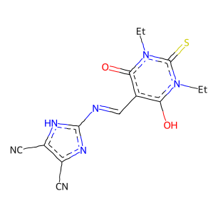 CCn1c(O)c(/C=N/c2nc(C#N)c(C#N)[nH]2)c(=O)n(CC)c1=S